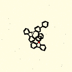 c1ccc(-c2ccc(-n3c4ccccc4c4cccc(-c5ccccc5-n5c6ccccc6c6ccccc65)c43)c(-c3ccccc3)c2)cc1